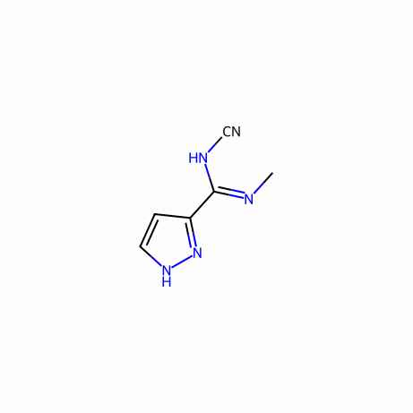 CN=C(NC#N)c1cc[nH]n1